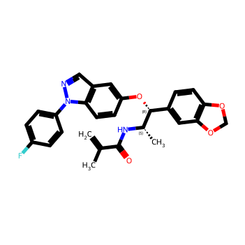 C=C(C)C(=O)N[C@@H](C)[C@H](Oc1ccc2c(cnn2-c2ccc(F)cc2)c1)c1ccc2c(c1)OCO2